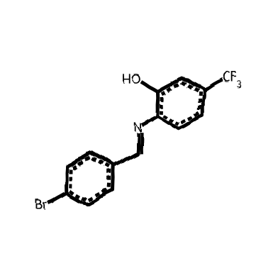 Oc1cc(C(F)(F)F)ccc1/N=C/c1ccc(Br)cc1